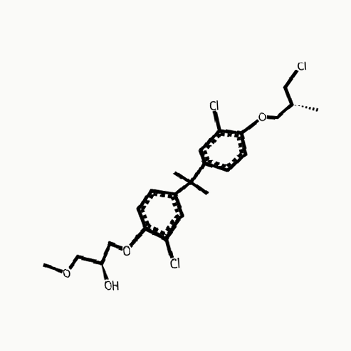 COC[C@H](O)COc1ccc(C(C)(C)c2ccc(OC[C@@H](C)CCl)c(Cl)c2)cc1Cl